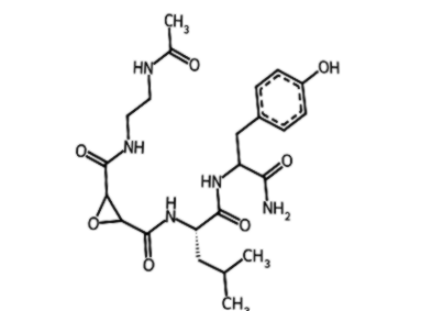 CC(=O)NCCNC(=O)C1OC1C(=O)N[C@@H](CC(C)C)C(=O)NC(Cc1ccc(O)cc1)C(N)=O